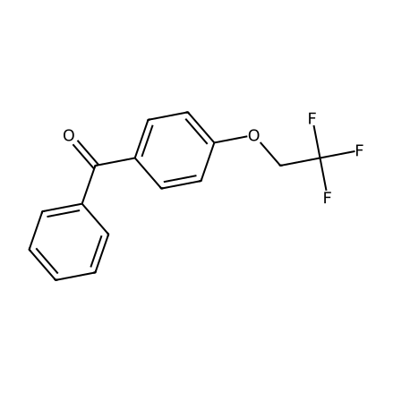 O=C(c1ccccc1)c1ccc(OCC(F)(F)F)cc1